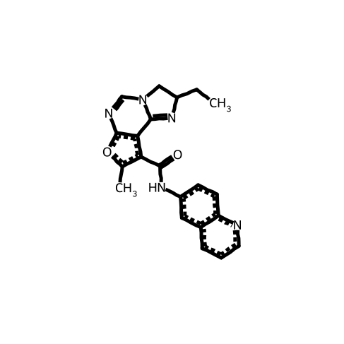 CCC1CN2C=Nc3oc(C)c(C(=O)Nc4ccc5ncccc5c4)c3C2=N1